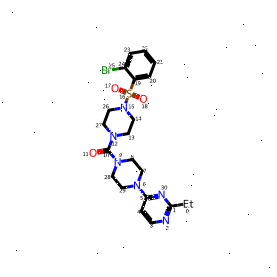 CCc1nccc(N2CCN(C(=O)N3CCN(S(=O)(=O)c4ccccc4Br)CC3)CC2)n1